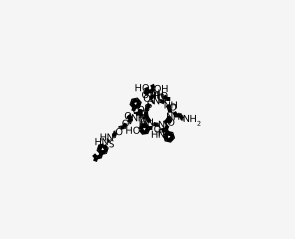 CC(C)Cc1ccc(NC(=S)NCCOCCOCC(=O)N[C@H](Cc2ccccc2)C(=O)N[C@H]2CSS[C@@H](C(=O)N[C@H](C(=O)O)C(C)O)NC(=O)[C@H](C(C)O)NC(=O)[C@H](CCCCN)NC(=O)[C@@H](Cc3c[nH]c4ccccc34)NC(=O)[C@H](Cc3ccc(O)cc3)NC2=O)cc1